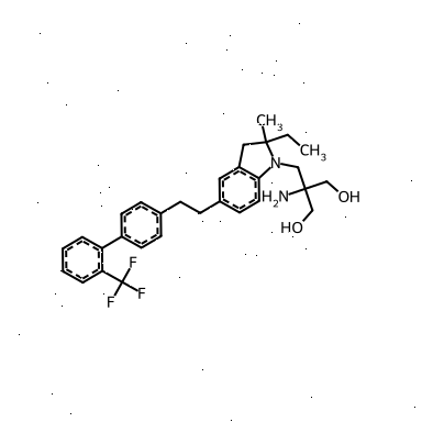 CCC1(C)Cc2cc(CCc3ccc(-c4ccccc4C(F)(F)F)cc3)ccc2N1CC(N)(CO)CO